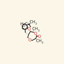 C=C(C)CO[C@@H]1[C@@H](Cc2ccccc2)COC[C@H](C)C(=O)O[C@H]1C